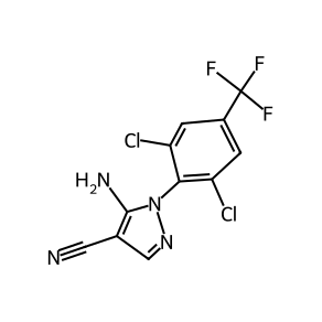 N#Cc1cnn(-c2c(Cl)cc(C(F)(F)F)cc2Cl)c1N